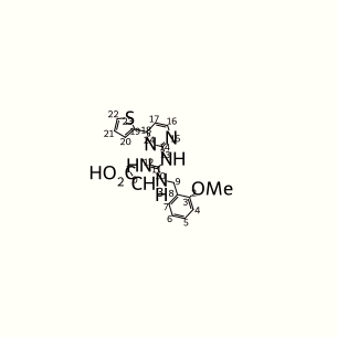 CC(=O)O.COc1ccccc1CNC(=N)Nc1nccc(-c2cccs2)n1